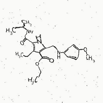 CCOC(=O)c1c(CNc2ccc(OC)cc2)[nH]c(C(=O)NC(C)C)c1CC